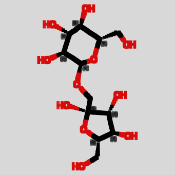 OC[C@@H]1O[C@@H](OC[C@]2(O)O[C@@H](CO)[C@H](O)[C@H]2O)[C@@H](O)[C@H](O)[C@H]1O